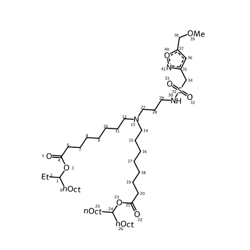 CCCCCCCCC(CC)OC(=O)CCCCCCCN(CCCCCCCC(=O)OC(CCCCCCCC)CCCCCCCC)CCCNS(=O)(=O)Cc1cc(COC)on1